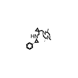 C[C@@H]1CN(CC2(CN[C@H]3C[C@@H]3c3ccccc3)CC2)[C@@H](C)CN1C